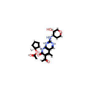 CC(=O)O[C@@]1(C)CCC[C@@H]1n1c(=O)c(C(C)=O)c(C)c2cnc(N[C@@H]3CCOC[C@H]3O)nc21